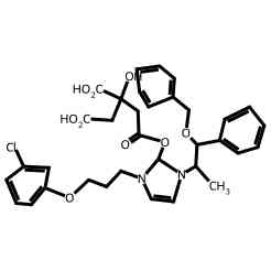 CC(C(OCc1ccccc1)c1ccccc1)N1C=CN(CCCOc2cccc(Cl)c2)C1OC(=O)CC(O)(CC(=O)O)C(=O)O